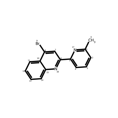 Cc1cccc(-c2cc(Br)c3ccccc3n2)n1